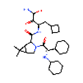 CC1(C)C2CN(C(=O)[C@@H](NC3CCCCC3)C3CCCCC3)C(C(=O)NC(CC3CCC3)C(=O)C(N)O)C21